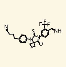 N#CCCCc1ccc(N2C(=S)N(c3ccc(C=N)c(C(F)(F)F)c3)C(=O)C23CCC3)cc1